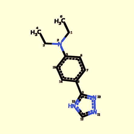 CCN(CC)c1ccc(-c2nnc[nH]2)cc1